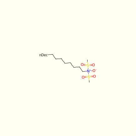 CCCCCCCCCCCCCCCCCC[N+]([O-])(S(C)(=O)=O)S(C)(=O)=O